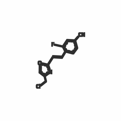 N#Cc1ccc(/C=C/c2nc(CCl)co2)c(F)c1